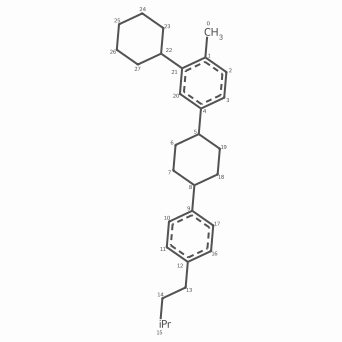 Cc1ccc(C2CCC(c3ccc(CCC(C)C)cc3)CC2)cc1C1CCCCC1